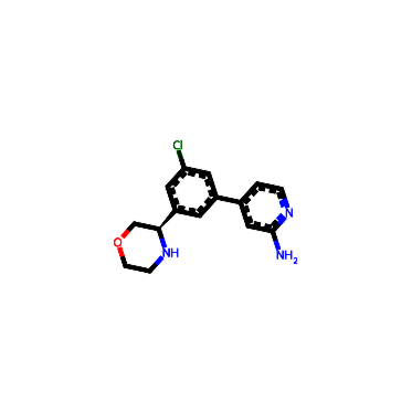 Nc1cc(-c2cc(Cl)cc([C@@H]3COCCN3)c2)ccn1